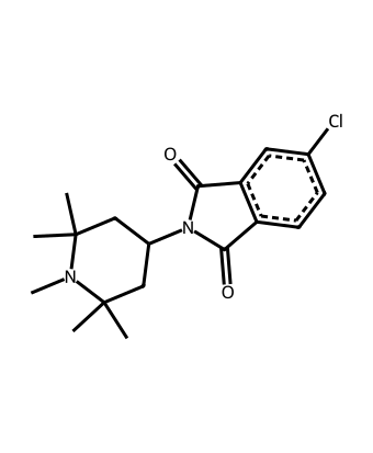 CN1C(C)(C)CC(N2C(=O)c3ccc(Cl)cc3C2=O)CC1(C)C